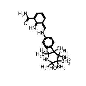 BC1(B)NC(B)(O)C(B)(B)C(B)(C)C1(C)c1ccc(N/C=C2/C=CC=C(C(N)=O)C2=N)cc1